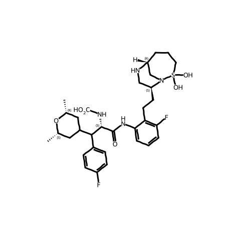 C[C@@H]1CC(C(c2ccc(F)cc2)[C@H](NC(=O)O)C(=O)Nc2cccc(F)c2CC[C@H]2CN[C@@H]3CCCS(O)(O)N2C3)C[C@H](C)O1